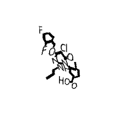 C=CCNc1nc(OCc2ccc(F)cc2F)c(Cl)c(=O)n1-c1cc(C(=O)O)ccc1C